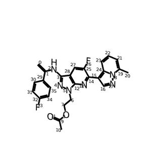 C=C(Nc1nn(CCOC(C)=O)c2nc(-c3cnn4c(C)cccc34)c(F)cc12)c1ccc(F)cc1